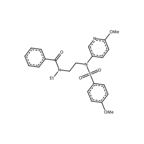 CCN(CCN(c1ccc(OC)nc1)S(=O)(=O)c1ccc(OC)cc1)C(=O)c1ccccc1